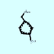 CCCCCCCCCCc1ccc(CCCCCCCC)cc1